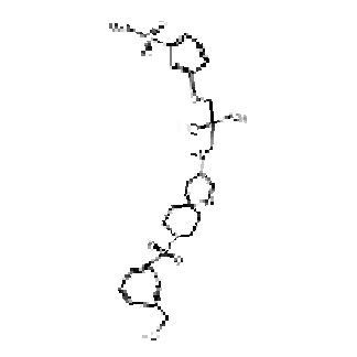 CNS(=O)(=O)c1cccc(OCC(O)(O)CNC2COC3(CCN(S(=O)(=O)c4cccc(CO)c4)CC3)C2)c1